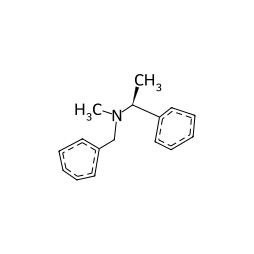 C[C@@H](c1ccccc1)N(C)Cc1ccccc1